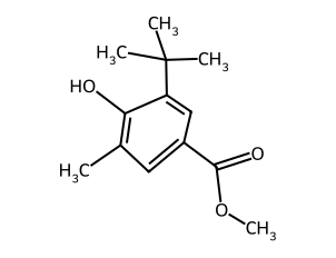 COC(=O)c1cc(C)c(O)c(C(C)(C)C)c1